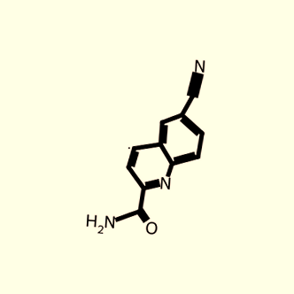 N#Cc1ccc2nc(C(N)=O)c[c]c2c1